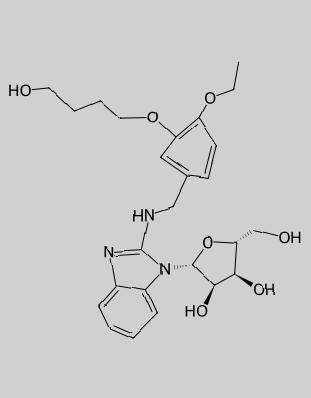 CCOc1ccc(CNc2nc3ccccc3n2[C@@H]2O[C@H](CO)[C@@H](O)[C@H]2O)cc1OCCCCO